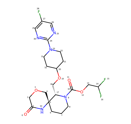 O=C1COC[C@@]2(CCCN(C(=O)OCC(F)F)[C@H]2COC2CCN(c3ncc(F)cn3)CC2)N1